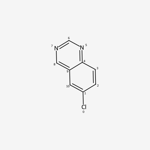 Clc1ccc2ncncc2c1